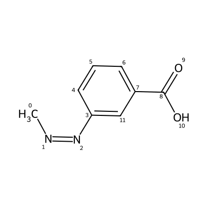 C/N=N\c1cccc(C(=O)O)c1